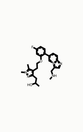 CNCc1cnc2ccc(-c3ccc(F)cc3OCCc3c(CC(C)O)nn(C)c3C)cn12